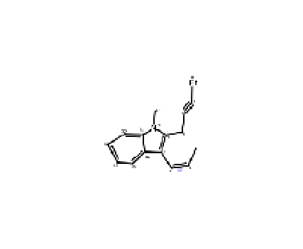 C/C=C\c1c(CC#CCC)n(C)c2ccccc12